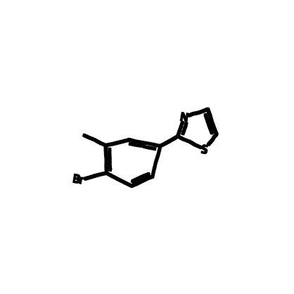 Cc1cc(-c2nccs2)ccc1Br